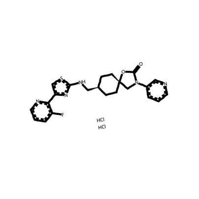 Cl.Cl.O=C1O[C@]2(CC[C@H](CNc3nc(-c4ncccc4F)cs3)CC2)CN1c1cccnc1